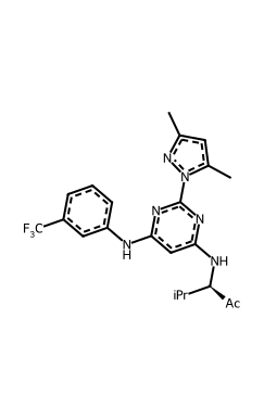 CC(=O)[C@H](Nc1cc(Nc2cccc(C(F)(F)F)c2)nc(-n2nc(C)cc2C)n1)C(C)C